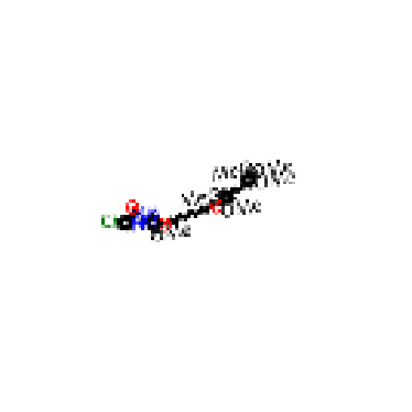 COc1cc(C2NC(=O)c3cc(Cl)ccc3N2)ccc1OCCCCCCCCCOc1c(OC)cc(/C=C/c2cc(OC)c(OC)c(OC)c2)cc1OC